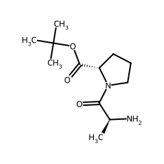 C[C@H](N)C(=O)N1CCC[C@H]1C(=O)OC(C)(C)C